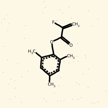 C=C(F)C(=O)Oc1c(C)cc(C)cc1C